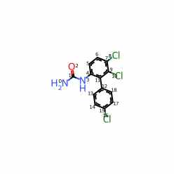 NC(=O)Nc1ccc(Cl)c(Cl)c1-c1ccc(Cl)cc1